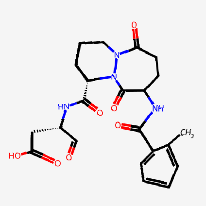 Cc1ccccc1C(=O)NC1CCC(=O)N2CCC[C@@H](C(=O)N[C@H](C=O)CC(=O)O)N2C1=O